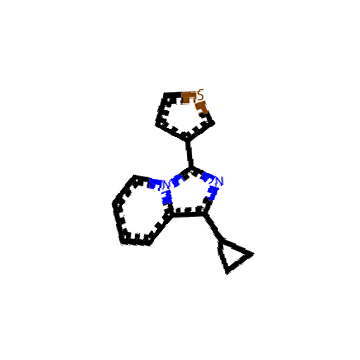 c1ccn2c(-c3ccsc3)nc(C3CC3)c2c1